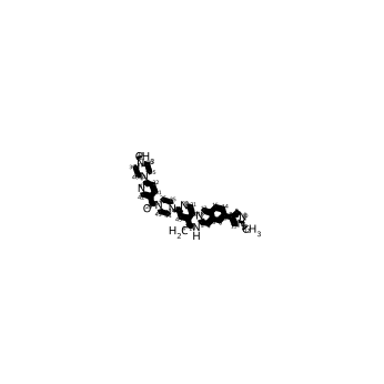 C=C(Nc1cc2cc(-c3cnn(C)c3)ccc2cn1)c1ccnc(N2CCN(C(=O)c3ccc(N4CCN(C)CC4)nc3)CC2)c1